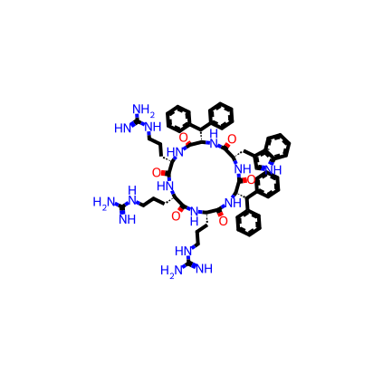 N=C(N)NCCC[C@@H]1NC(=O)[C@H](CCCNC(=N)N)NC(=O)[C@H](C(c2ccccc2)c2ccccc2)NC(=O)[C@H](Cc2c[nH]c3ccccc23)NC(=O)[C@H](C(c2ccccc2)c2ccccc2)NC(=O)[C@H](CCCNC(=N)N)NC1=O